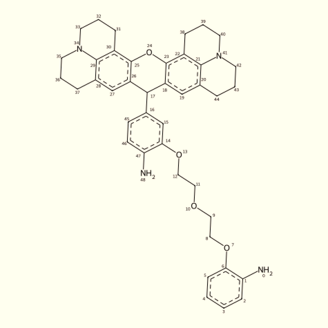 Nc1ccccc1OCCOCCOc1cc(C2c3cc4c5c(c3Oc3c2cc2c6c3CCCN6CCC2)CCCN5CCC4)ccc1N